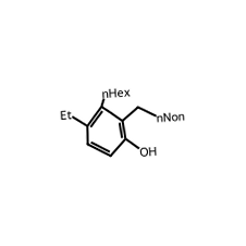 CCCCCCCCCCc1c(O)ccc(CC)c1CCCCCC